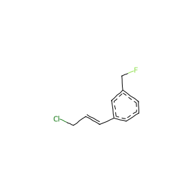 FCc1cccc(/C=C/CCl)c1